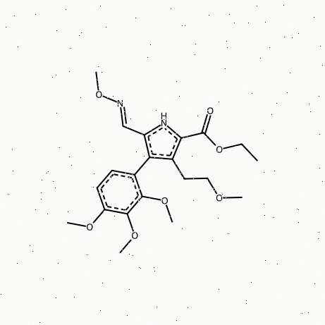 CCOC(=O)c1[nH]c(/C=N/OC)c(-c2ccc(OC)c(OC)c2OC)c1CCOC